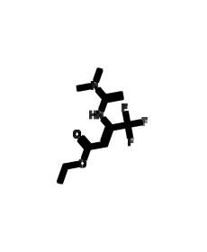 C=C(N/C(=C\C(=O)OCC)C(F)(F)F)N(C)C